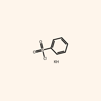 O=S(=O)(Cl)c1ccccc1.[KH]